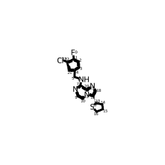 Fc1ccc(CNc2nccn3c([C@@H]4CCCS4)cnc23)cc1Cl